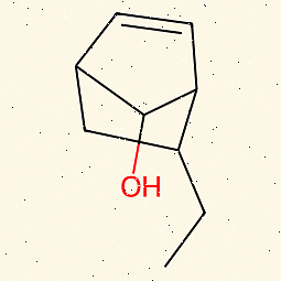 CCC1CC2C=CC1C2O